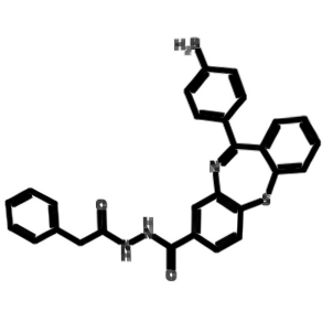 Bc1ccc(C2=Nc3cc(C(=O)NNC(=O)Cc4ccccc4)ccc3Sc3ccccc32)cc1